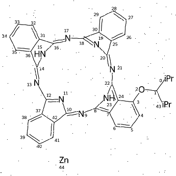 CC(C)C(Oc1cccc2c3nc4nc(nc5[nH]c(nc6nc(nc([nH]3)c12)-c1ccccc1-6)c1ccccc51)-c1ccccc1-4)C(C)C.[Zn]